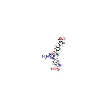 Nc1nc(OC(c2ccc(-c3ccc4c(c3)COC4=O)cc2)C(F)(F)F)cc(N2CCC3(CC2)CNC(C(=O)O)C3)n1